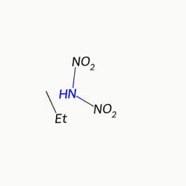 CCC.O=[N+]([O-])N[N+](=O)[O-]